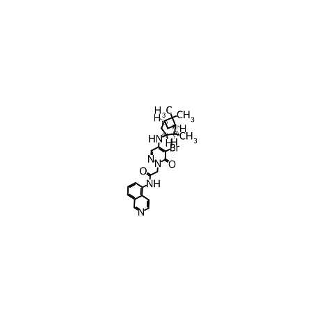 C[C@@H]1[C@H]2C[C@@H](C[C@H]1Nc1cnn(CC(=O)Nc3cccc4cnccc34)c(=O)c1Br)C2(C)C